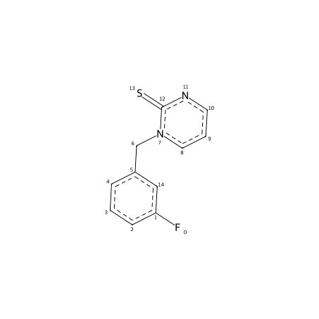 Fc1cccc(Cn2cccnc2=S)c1